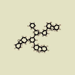 c1ccc(-c2nc(-c3cc(-c4ccc5oc6ccccc6c5c4)cc(-c4ccc5oc6ccccc6c5c4)c3)cc(-c3cccc(-c4cccc5c4oc4ccccc45)c3)n2)cc1